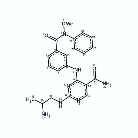 CON(C(=O)c1cccc(Nc2nc(NCC(C)N)ncc2C(N)=O)c1)c1ccccc1